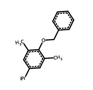 Cc1cc(C(C)C)cc(C)c1OCc1ccccc1